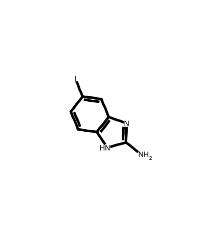 Nc1nc2cc(I)ccc2[nH]1